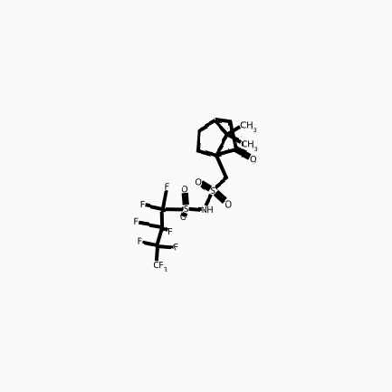 CC1(C)C2CCC1(CS(=O)(=O)NS(=O)(=O)C(F)(F)C(F)(F)C(F)(F)C(F)(F)F)C(=O)C2